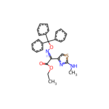 CCOC(=O)/C(=N/OC(c1ccccc1)(c1ccccc1)c1ccccc1)c1csc(NC)n1